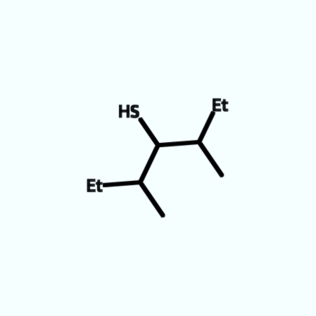 CCC(C)C(S)C(C)CC